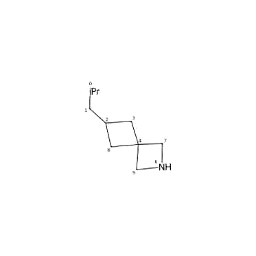 CC(C)CC1CC2(CNC2)C1